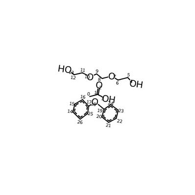 CC(=O)O.OCCOCCOCCO.c1ccc(Oc2ccccc2)cc1